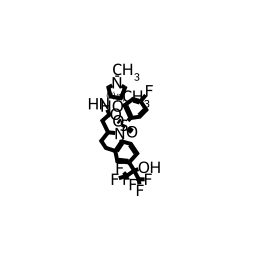 CN1C[C@@H](NC(=O)CC2CCc3cc(C(O)(C(F)(F)F)C(F)(F)F)ccc3N2S(=O)(=O)c2ccc(F)cc2)[C@](C)(O)C1